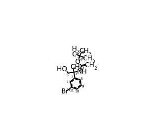 C=C(NC(C)(CO)c1cccc(Br)c1)OC(C)(C)C